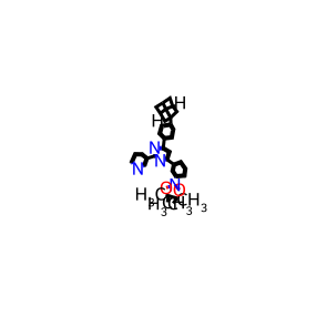 CC1(C)ON(c2cccc(-c3cc(-c4ccc(C56C[C@H]7CC8C[C@@H](C5)C876)cc4)nc(-c4cccnc4)n3)c2)OC1(C)C